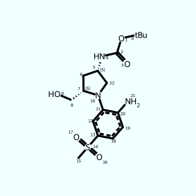 CC(C)(C)OC(=O)N[C@H]1C[C@@H](CO)N(c2cc(S(C)(=O)=O)ccc2N)C1